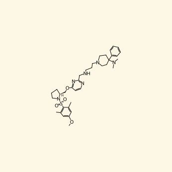 COc1cc(C)c(S(=O)(=O)N2CCC[C@H]2COc2ccnc(CNCCCN3CCC(c4ccccc4)(N(C)C)CC3)n2)c(C)c1